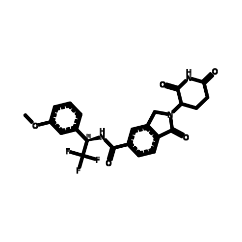 COc1cccc([C@@H](NC(=O)c2ccc3c(c2)CN(C2CCC(=O)NC2=O)C3=O)C(F)(F)F)c1